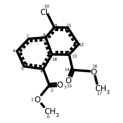 COC(=O)c1cccc2c(Cl)ccc(C(=O)OC)c12